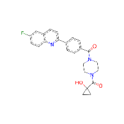 O=C(c1ccc(-c2ccc3cc(F)ccc3n2)cc1)N1CCN(C(=O)C2(O)CC2)CC1